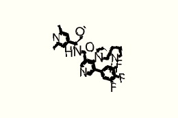 COC[C@@H](NC(=O)c1cncc(-c2cc(F)c(F)c(F)c2)c1N1CC[C@@]2(CCCN2)C1)c1cc(C)nc(C)c1